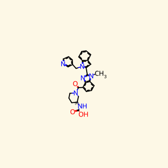 Cn1c(-c2cc3ccccc3n2Cc2cccnc2)nc2c(C(=O)N3CCC[C@@H](NC(=O)O)C3)cccc21